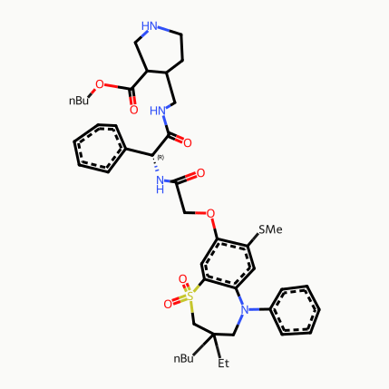 CCCCOC(=O)C1CNCCC1CNC(=O)[C@H](NC(=O)COc1cc2c(cc1SC)N(c1ccccc1)CC(CC)(CCCC)CS2(=O)=O)c1ccccc1